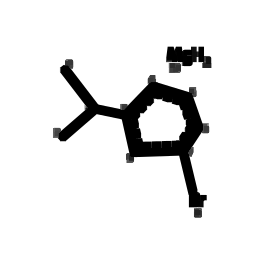 CC(C)c1cccc(Br)c1.[MgH2]